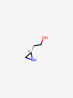 OCC[C@H]1CN1